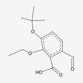 CCOc1c(OC(C)(C)C)ccc(C=O)c1C(=O)O